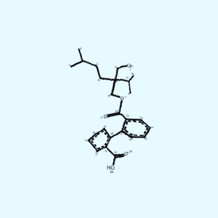 CC(C)CCC(CO)(COC(=O)c1ccccc1-c1ccccc1C(=O)O)C(C)C